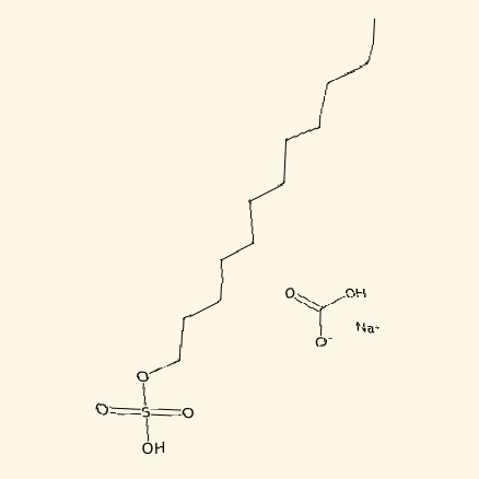 CCCCCCCCCCCCOS(=O)(=O)O.O=C([O-])O.[Na+]